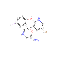 N[C@@H]1CN=CC2(O1)C1=C(NCC(Br)=C1)Oc1ccc(I)cc12